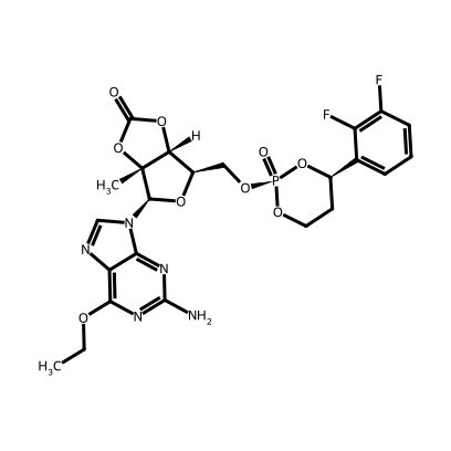 CCOc1nc(N)nc2c1ncn2[C@@H]1O[C@H](CO[P@]2(=O)OCC[C@H](c3cccc(F)c3F)O2)[C@H]2OC(=O)O[C@]21C